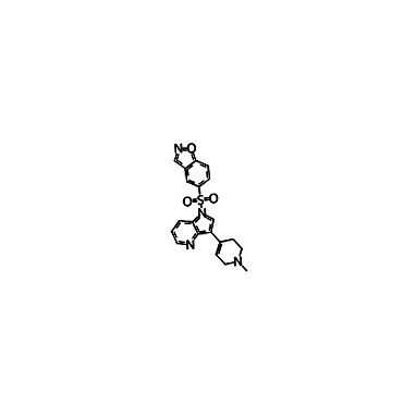 CN1CC=C(c2cn(S(=O)(=O)c3ccc4oncc4c3)c3cccnc23)CC1